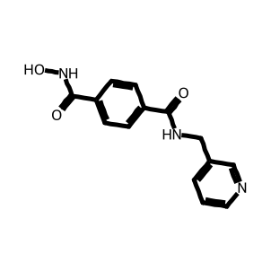 O=C(NO)c1ccc(C(=O)NCc2cccnc2)cc1